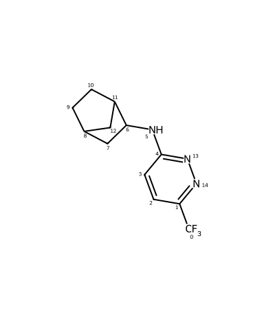 FC(F)(F)c1ccc(NC2CC3CCC2C3)nn1